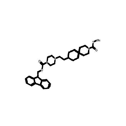 CC(C)(C)OC(=O)N1CCC2(CCC(CCN3CCN(C(=O)OCC4c5ccccc5-c5ccccc54)CC3)CC2)CC1